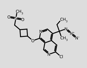 CCC(C)(N=[N+]=[N-])c1cnc(OC2CC(CS(C)(=O)=O)C2)c2cnc(Cl)cc12